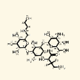 NCC(F)(F)C(O)C(=O)N[C@@H]1C[C@H](N)C(O[C@H]2O[C@H](CNCCO)[C@@H](O)[C@H](O)[C@H]2O)[C@H](O)[C@H]1O[C@H]1O[C@H](CO)[C@@H](O)[C@H](N)[C@H]1O